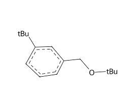 CC(C)(C)OCc1cccc(C(C)(C)C)c1